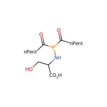 CCCCCC(=O)P(NC(CO)C(=O)O)C(=O)CCCCC